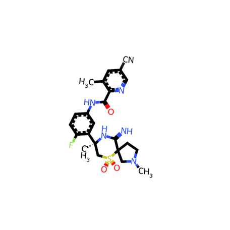 Cc1cc(C#N)cnc1C(=O)Nc1ccc(F)c([C@]2(C)CS(=O)(=O)C3(CCN(C)C3)C(=N)N2)c1